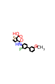 COc1cccc(-c2ccc(NC(=O)c3ccsc3C(=O)O)c(F)c2)c1